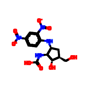 O=C(O)N[C@@H]1[C@@H](O)[C@@H](CO)C[C@H]1Nc1ccc([N+](=O)[O-])cc1[N+](=O)[O-]